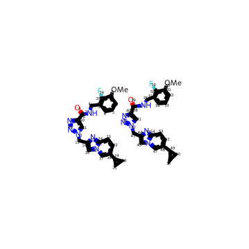 COc1cccc(CNC(=O)c2cn(Cc3cn4cc(C5CC5)ccc4n3)nn2)c1F.COc1cccc(CNC(=O)c2cn(Cc3cn4cc(C5CC5)ccc4n3)nn2)c1F